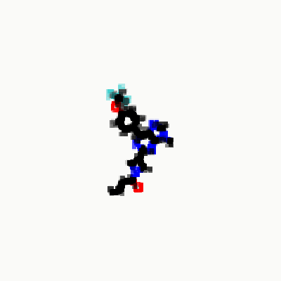 CC=CC(=O)N1CC(c2nc(-c3ccc(OC(F)(F)F)cc3)c3ncn(C)c3n2)C1